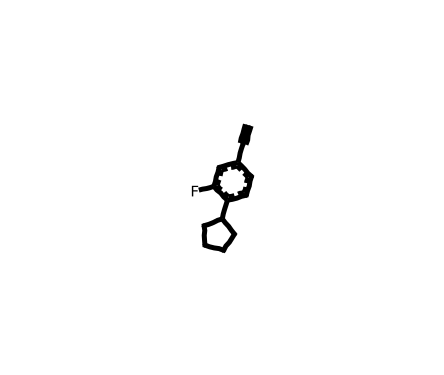 C#Cc1ccc(C2CCCC2)c(F)c1